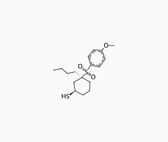 CCCC[C@]1(S(=O)(=O)c2ccc(OC)cc2)CCC[C@@H](S)C1